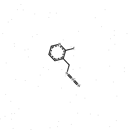 [N-]=[N+]=NCc1cccnc1F